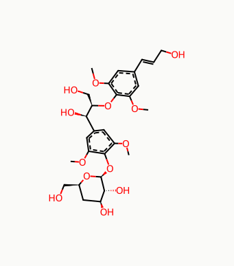 COc1cc([C@@H](O)[C@@H](CO)Oc2c(OC)cc(/C=C/CO)cc2OC)cc(OC)c1O[C@@H]1O[C@H](CO)C[C@H](O)[C@H]1O